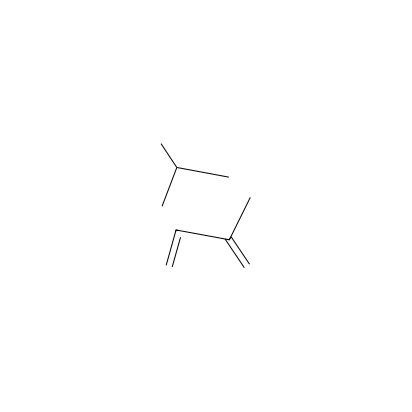 C=CC(=C)C.CC(C)C